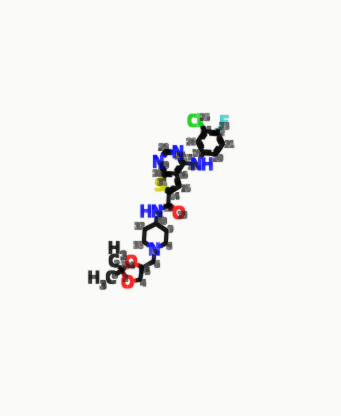 CC1(C)OC[C@H](CN2CCC(NC(=O)c3cc4c(Nc5ccc(F)c(Cl)c5)ncnc4s3)CC2)O1